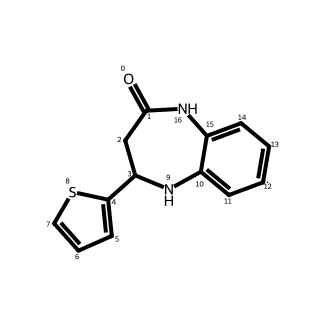 O=C1CC(c2cccs2)Nc2c[c]ccc2N1